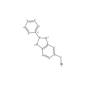 BrCc1ccc2c(c1)OC(c1ccccc1)O2